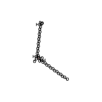 O=CCCOCCOCCOCCOCCOCCOCCOCCOCCOCCOCCOCCOCCNC(=O)CCOCC(COCCC=O)(COCCC=O)NC(=O)CCOCCOCCOCCOCCOCCOCCOCCOCCOCCOCCOCCOCCNC(=O)c1ccccc1C=O